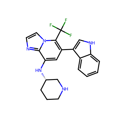 FC(F)(F)c1c(-c2c[nH]c3ccccc23)cc(N[C@H]2CCCNC2)c2nccn12